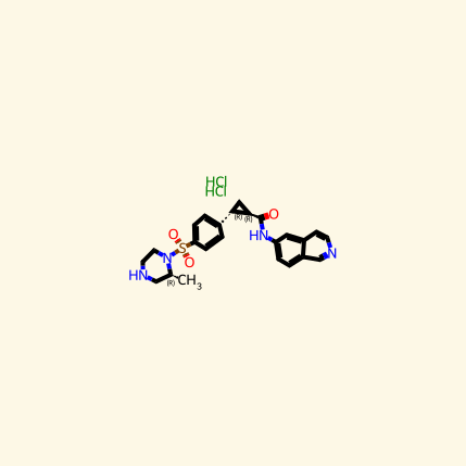 C[C@@H]1CNCCN1S(=O)(=O)c1ccc([C@@H]2C[C@H]2C(=O)Nc2ccc3cnccc3c2)cc1.Cl.Cl